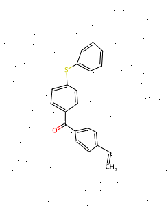 C=Cc1ccc(C(=O)c2ccc(Sc3ccccc3)cc2)cc1